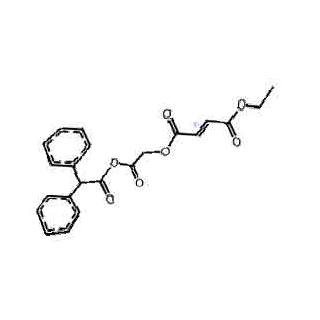 CCOC(=O)/C=C/C(=O)OCC(=O)OC(=O)C(c1ccccc1)c1ccccc1